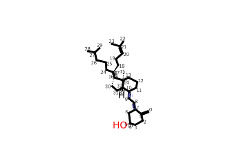 C=C1CC[C@H](O)C/C1=C\C=C1/CCC[C@]2(C)[C@@H]([C@H](CCC=C(C)C)CCCC(C)C)CC[C@@H]12